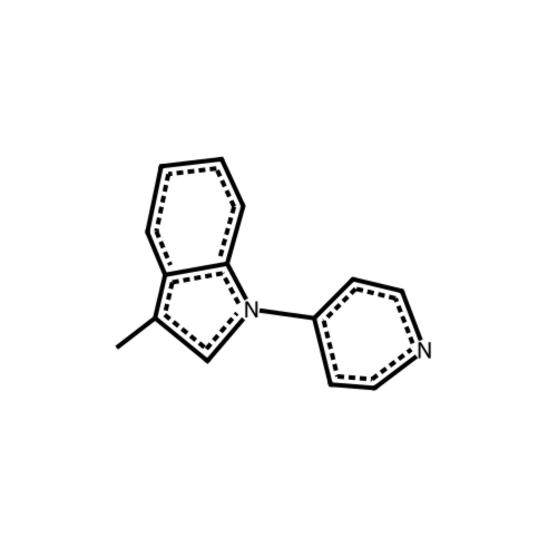 Cc1cn(-c2ccncc2)c2ccccc12